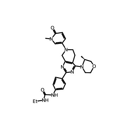 CCNC(=O)Nc1ccc(-c2nc3c(c(N4CCOC[C@@H]4C)n2)CCN(c2ccc(=O)n(C)c2)C3)cc1